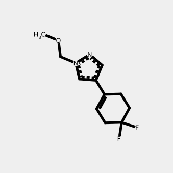 COCn1cc(C2=CCC(F)(F)CC2)cn1